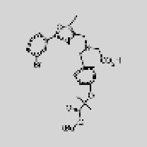 Cc1oc(-c2cccc(Br)c2)nc1CN(CC(=O)O)Cc1ccc(OC(C)(C)C(=O)OC(C)(C)C)cc1